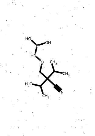 CC(C)C(C#N)(CONP(O)O)C(C)C